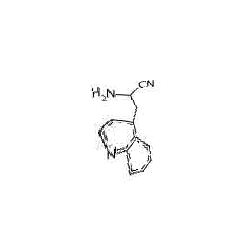 N#CC(N)Cc1ccnc2ccccc12